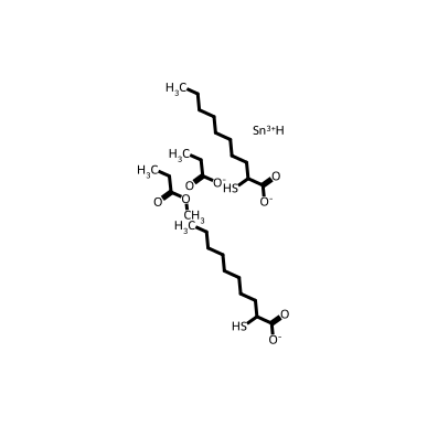 CCC(=O)OC.CCC(=O)[O-].CCCCCCCCC(S)C(=O)[O-].CCCCCCCCC(S)C(=O)[O-].[SnH+3]